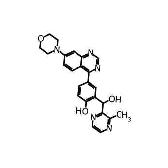 Cc1nccnc1C(O)c1cc(-c2ncnc3cc(N4CCOCC4)ccc23)ccc1O